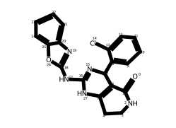 O=C1NCCC2=C1C(c1ccccc1Cl)N=C(Nc1nc3ccccc3o1)N2